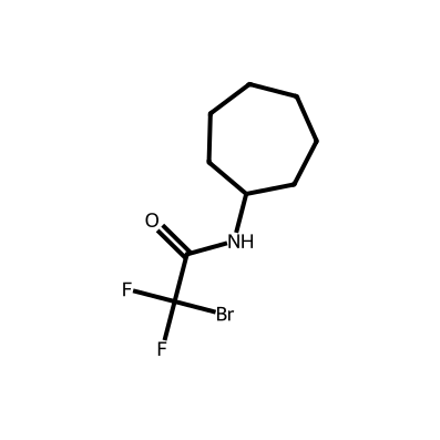 O=C(NC1CCCCCC1)C(F)(F)Br